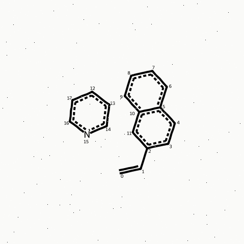 C=Cc1ccc2ccccc2c1.c1ccncc1